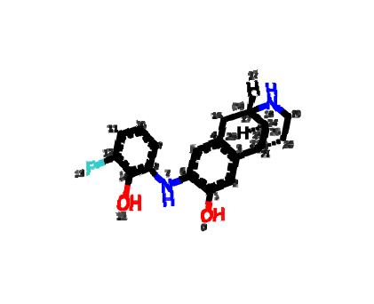 Oc1cc2c(cc1Nc1cccc(F)c1O)C[C@@H]1NCC[C@]23CCCC[C@H]13